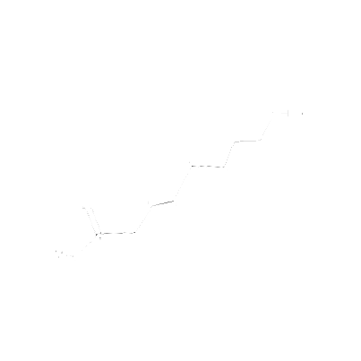 [CH2]CCCCCCCCCCCCC(=C)OC